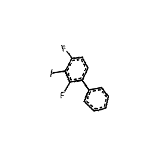 Fc1ccc(-c2ccccc2)c(F)c1I